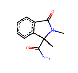 CN1C(=O)c2ccccc2C1(C)C(N)=O